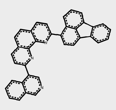 c1ccc2c(c1)-c1cccc3c(-c4ccc5ccc6ccc(-c7cncc8ccccc78)nc6c5n4)ccc-2c13